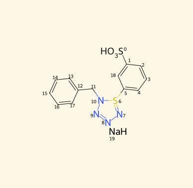 O=S(=O)(O)c1cccc(S2=NN=NN2Cc2ccccc2)c1.[NaH]